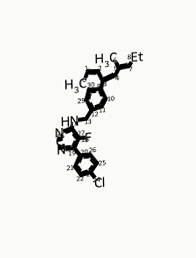 C\C=C/C(=C\C(C)=C\CC)c1ccc(CNc2ncnc(-c3ccc(Cl)cc3)c2F)cc1